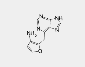 Nc1ccoc1Cc1ncnc2[nH]cnc12